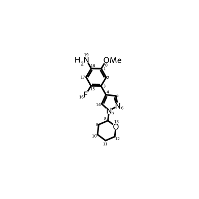 COc1cc(-c2cnn(C3CCCCO3)c2)c(F)cc1N